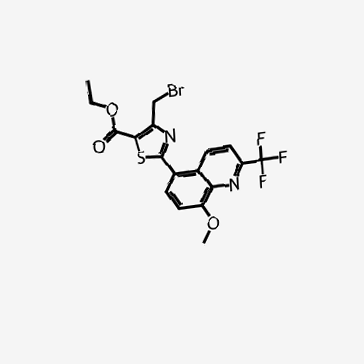 CCOC(=O)c1sc(-c2ccc(OC)c3nc(C(F)(F)F)ccc23)nc1CBr